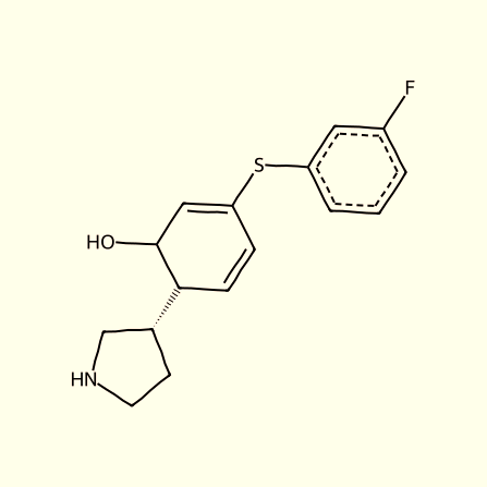 OC1C=C(Sc2cccc(F)c2)C=CC1[C@@H]1CCNC1